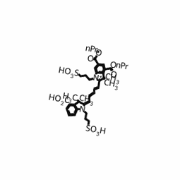 CCCOC(=O)c1cc(C(=O)OCCC)c2c(c1)[N+](CCCS(=O)(=O)O)=C(/C=C/C=C/C=C1/N(CCCS(=O)(=O)O)c3cccc(C(=O)O)c3C1(C)C)C2(C)C